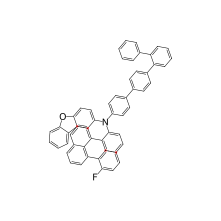 Fc1ccccc1-c1cccc2cccc(-c3ccccc3N(c3ccc(-c4ccc(-c5ccccc5-c5ccccc5)cc4)cc3)c3ccc4oc5ccccc5c4c3)c12